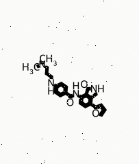 CN(C)CCCNc1ccc(C(=O)Nc2ccc(-c3ccco3)c3c2C(=O)NC3)cc1